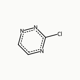 Clc1nccnn1